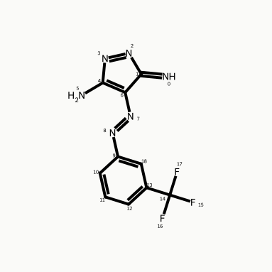 N=C1N=NC(N)=C1N=Nc1cccc(C(F)(F)F)c1